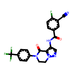 N#Cc1cc(C(=O)Nc2cnn3c2C(=O)N(c2ccc(C(F)(F)F)cc2)CC3)ccc1F